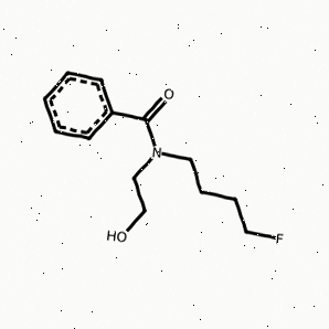 O=C(c1ccccc1)N(CCO)CCCCF